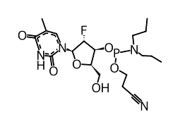 CCCN(CCC)P(OCCC#N)O[C@@H]1[C@@H](F)[C@H](n2cc(C)c(=O)[nH]c2=O)O[C@@H]1CO